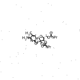 Cc1cn([C@@H]2O[C@H](COC(=O)C(C)C)[C@@H](OC(=O)C(C)C)[C@@]2(C)F)c(=O)nc1N